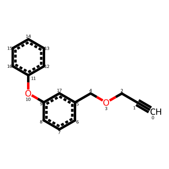 C#CCOCc1cccc(Oc2ccccc2)c1